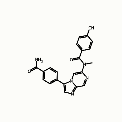 CN(C(=O)c1ccc(C#N)cc1)c1cn2c(-c3ccc(C(N)=O)cc3)cnc2cn1